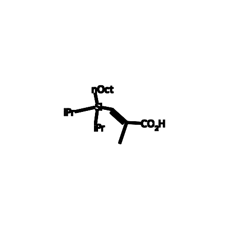 CCCCCCCC[Si](C=C(C)C(=O)O)(C(C)C)C(C)C